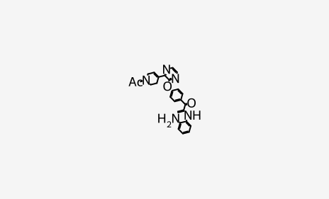 C=C(Nc1ccccc1N)C(=O)c1ccc(Oc2nccnc2C2=CCN(C(C)=O)CC2)cc1